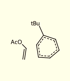 C=COC(C)=O.CC(C)(C)c1ccccc1